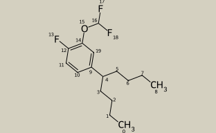 CCCCC(CCCC)c1ccc(F)c(OC(F)F)c1